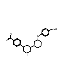 CCC(=O)c1ccc(C2CNCC(N3CCCC(Nc4ccc(OC)cc4)C3)C2)cc1